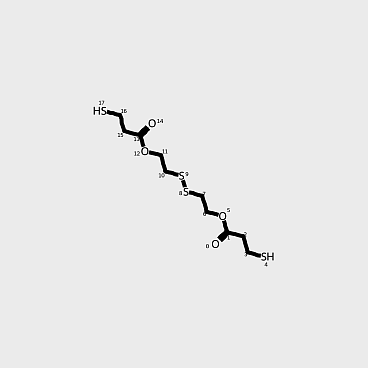 O=C(CCS)OCCSSCCOC(=O)CCS